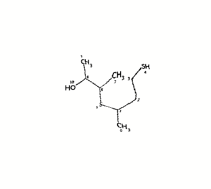 CC(CCS)SC(C)C(C)O